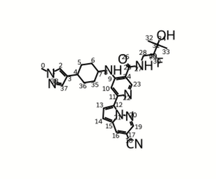 Cn1cc(C2CCC(Nc3cc(-c4ccc5cc(C#N)cnn45)ncc3C(=O)NC[C@@H](F)C(C)(C)O)CC2)cn1